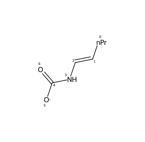 CCCC=CNC([O])=O